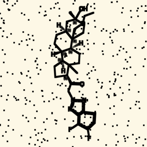 CCOC[C@]12CC[C@@](C)(O)C[C@@H]1CC[C@H]1[C@@H]3CC[C@H](C(=O)Cn4nc5ccc(F)c(F)c5n4)C3(C)CC[C@@H]12